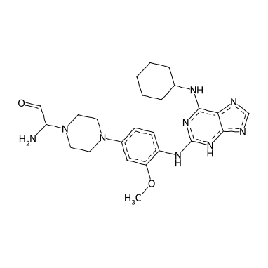 COc1cc(N2CCN(C(N)C=O)CC2)ccc1Nc1nc(NC2CCCCC2)c2ncnc-2[nH]1